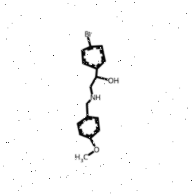 COc1ccc(CNCC(O)c2ccc(Br)cc2)cc1